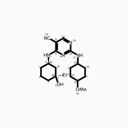 CC[C@]1(O)CCC[C@@H](Nc2nc(NC3CCC(OC)CC3)ncc2C#N)C1